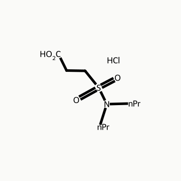 CCCN(CCC)S(=O)(=O)CCC(=O)O.Cl